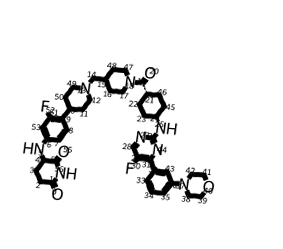 O=C1CCC(Nc2ccc(C3CCN(CC4CCN(C(=O)[C@H]5CC[C@H](Nc6ncc(F)c(-c7cccc(N8CCOCC8)c7)n6)CC5)CC4)CC3)c(F)c2)C(=O)N1